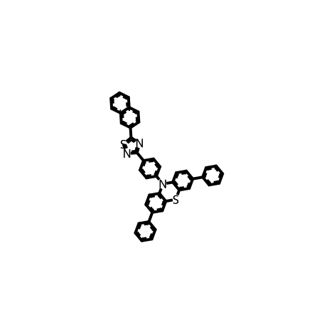 c1ccc(-c2ccc3c(c2)Sc2cc(-c4ccccc4)ccc2N3c2ccc(-c3nsc(-c4ccc5ccccc5c4)n3)cc2)cc1